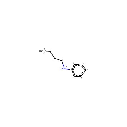 O=S(=O)(O)CCCNc1c[c]ccc1